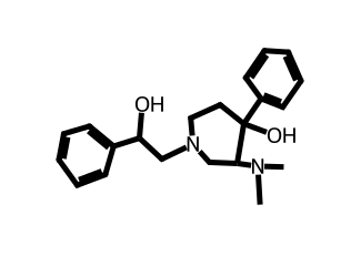 CN(C)C1CN(CC(O)c2ccccc2)CCC1(O)c1ccccc1